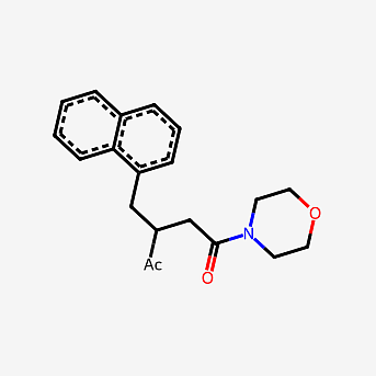 CC(=O)C(CC(=O)N1CCOCC1)Cc1cccc2ccccc12